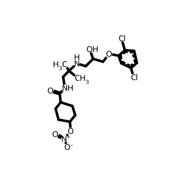 CC(C)(CNC(=O)C1CCC(O[N+](=O)[O-])CC1)NCC(O)COc1cc(Cl)ccc1Cl